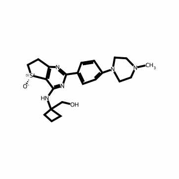 CN1CCN(c2ccc(-c3nc4c(c(NC5(CO)CCC5)n3)[S@+]([O-])CC4)cc2)CC1